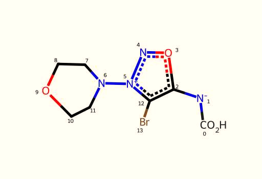 O=C(O)[N-]c1on[n+](N2CCOCC2)c1Br